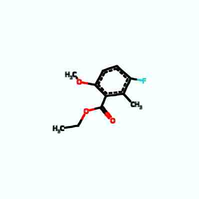 CCOC(=O)c1c(OC)ccc(F)c1C